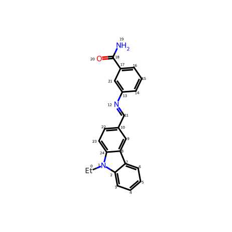 CCn1c2ccccc2c2cc(/C=N/c3cccc(C(N)=O)c3)ccc21